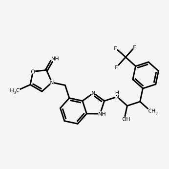 Cc1cn(Cc2cccc3[nH]c(NC(O)C(C)c4cccc(C(F)(F)F)c4)nc23)c(=N)o1